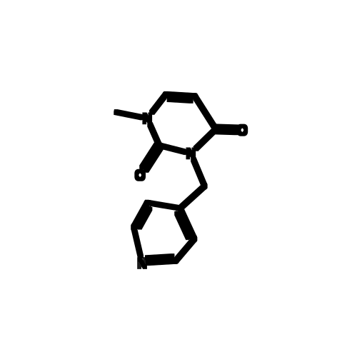 Cn1ccc(=O)n(Cc2ccncc2)c1=O